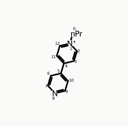 CCC[n+]1ccc(-c2ccncc2)cc1